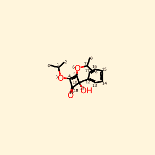 CC(C)OC1=C(OC(C)C)C(O)(c2ccccc2)C1=O